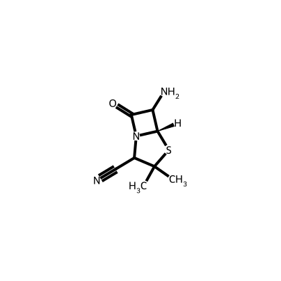 CC1(C)S[C@H]2C(N)C(=O)N2C1C#N